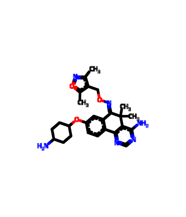 Cc1noc(C)c1CO/N=C1\c2cc(OC3CCC(N)CC3)ccc2-c2ncnc(N)c2C1(C)C